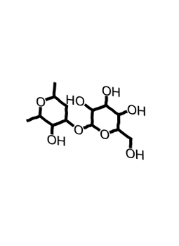 CC1CC(OC2OC(CO)C(O)C(O)C2O)C(O)C(C)O1